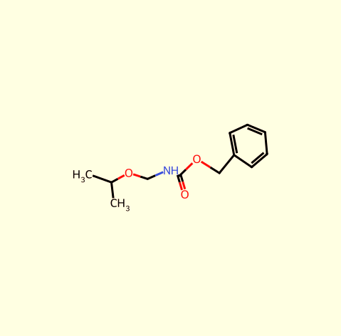 CC(C)OCNC(=O)OCc1ccccc1